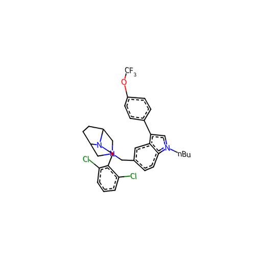 CCCCn1cc(-c2ccc(OC(F)(F)F)cc2)c2cc(CN3CC4CCC(C3)N4Cc3c(Cl)cccc3Cl)ccc21